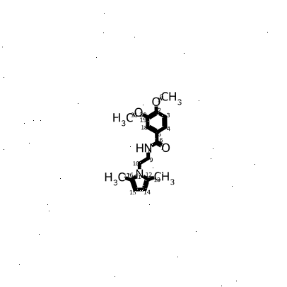 COc1ccc(C(=O)NCCn2c(C)ccc2C)cc1OC